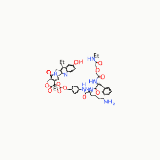 CCNC(=O)COCC(=O)N[C@@H](Cc1ccccc1)C(=O)N[C@@H](CCCCN)C(=O)Nc1ccc(COC(=O)O[C@]2(CC)C(=O)OCc3c2cc2n(c3=O)Cc3c-2nc2ccc(O)cc2c3CC)cc1